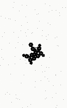 CC(C)(C)c1ccc(N(c2ccc(C(C)(C)C)cc2)c2ccc3c(c2)C2(c4ccccc4-c4ccccc42)c2cc(N(c4ccc(C(C)(C)C)cc4)c4ccc(C(C)(C)C)cc4)c4oc5cc(-c6ccccc6)ccc5c4c2-3)cc1